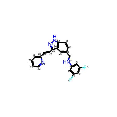 Fc1cc(F)cc(NCc2ccc3[nH]nc(C=Cc4ccccn4)c3c2)c1